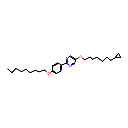 CCCCCCCCCOc1ccc(-c2ncc(OCCCCCCCC3CC3)cn2)cc1